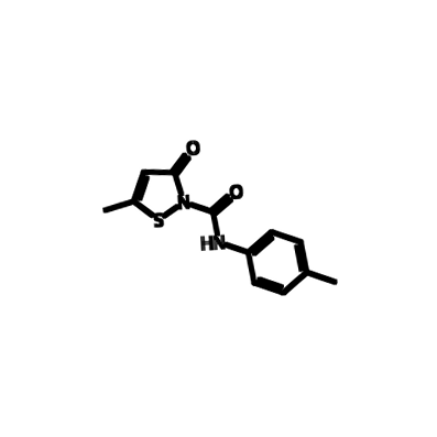 Cc1ccc(NC(=O)n2sc(C)cc2=O)cc1